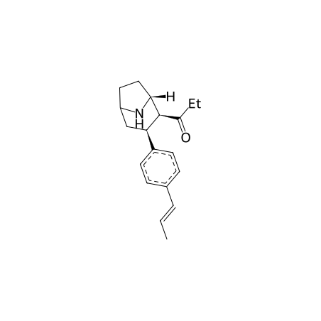 C/C=C/c1ccc([C@H]2CC3CC[C@@H](N3)[C@H]2C(=O)CC)cc1